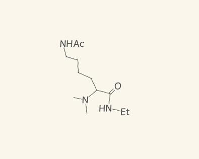 CCNC(=O)C(CCCCNC(C)=O)N(C)C